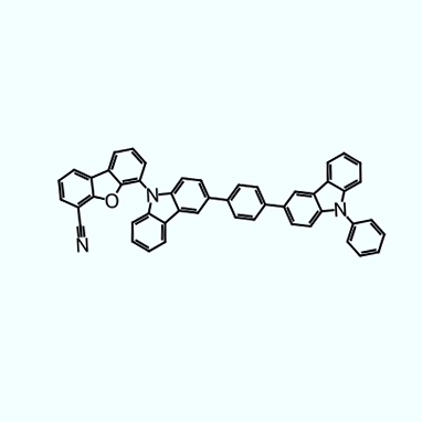 N#Cc1cccc2c1oc1c(-n3c4ccccc4c4cc(-c5ccc(-c6ccc7c(c6)c6ccccc6n7-c6ccccc6)cc5)ccc43)cccc12